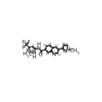 CN/C(=C\C(=N)C(F)(F)F)NC(=O)c1ccc2cc(-c3ccn(C)n3)cnc2c1